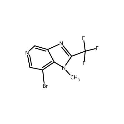 Cn1c(C(F)(F)F)nc2cncc(Br)c21